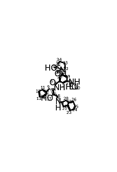 CCNc1cc(C(=O)N[C@@H](Cc2ccccc2)[C@H](O)CNC2Cc3ccccc3C2)cc(N2CCCCS2(O)O)c1.Cl